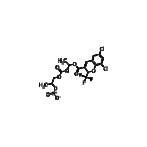 CC(COC(=O)OC(C)OC(=O)C1=Cc2cc(Cl)cc(Cl)c2OC1C(F)(F)F)O[N+](=O)[O-]